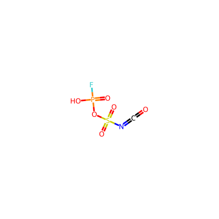 O=C=NS(=O)(=O)OP(=O)(O)F